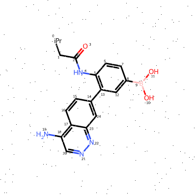 CC(C)CC(=O)Nc1ccc(B(O)O)cc1-c1ccc2c(N)cnnc2c1